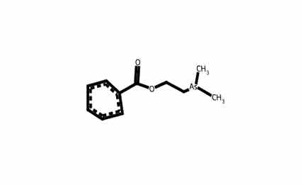 C[As](C)CCOC(=O)c1ccccc1